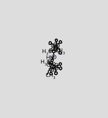 CCCCCCCCOc1c(O[C@H]2O[C@H](COCc3ccccc3)[C@@H](OCc3ccccc3)[C@H](OCc3ccccc3)[C@@H]2OCc2ccccc2)c2ccc(NC(=O)/C=C/c3cc(OC)c(O[C@H]4O[C@H](COCc5ccccc5)[C@@H](OCc5ccccc5)[C@H](OCc5ccccc5)[C@@H]4OCc4ccccc4)c(OC)c3)cc2n(C)c1=O